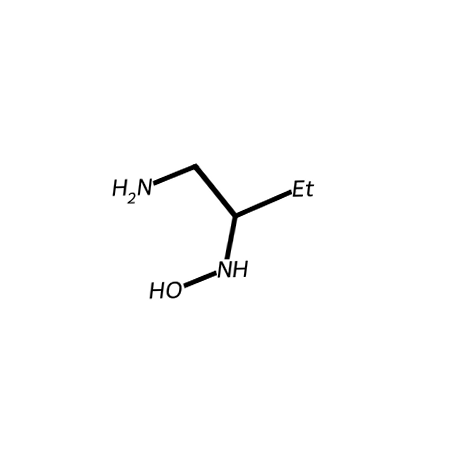 CCC(CN)NO